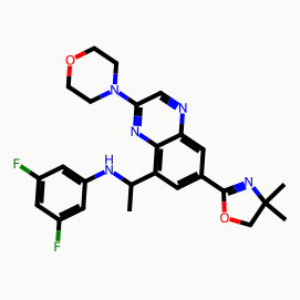 CC(Nc1cc(F)cc(F)c1)c1cc(C2=NC(C)(C)CO2)cc2ncc(N3CCOCC3)nc12